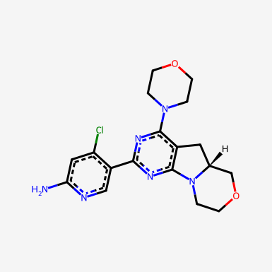 Nc1cc(Cl)c(-c2nc(N3CCOCC3)c3c(n2)N2CCOC[C@H]2C3)cn1